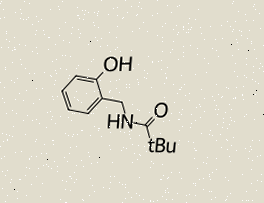 CC(C)(C)C(=O)NCc1ccccc1O